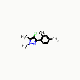 Cc1ccc(-c2nn(C)c(C)c2Cl)c(C)c1